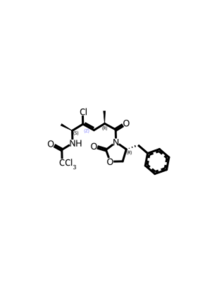 C[C@H](/C=C(\Cl)[C@H](C)NC(=O)C(Cl)(Cl)Cl)C(=O)N1C(=O)OC[C@H]1Cc1ccccc1